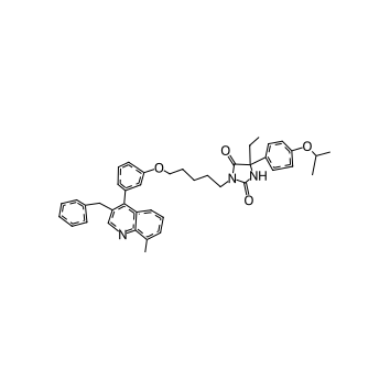 CCC1(c2ccc(OC(C)C)cc2)NC(=O)N(CCCCCOc2cccc(-c3c(Cc4ccccc4)cnc4c(C)cccc34)c2)C1=O